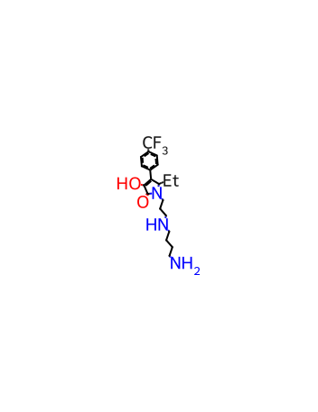 CCC1C(c2ccc(C(F)(F)F)cc2)=C(O)C(=O)N1CCCNCCCCN